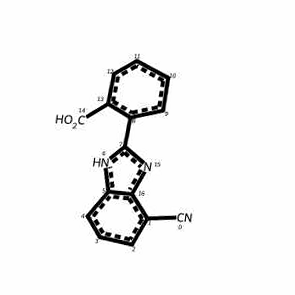 N#Cc1cccc2[nH]c(-c3ccccc3C(=O)O)nc12